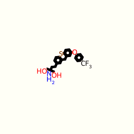 NC(CO)(CO)CCc1ccc2c(c1)Cc1cc(Oc3ccc(C(F)(F)F)cc3)ccc1S2